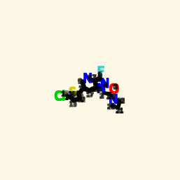 O=C(Cn1nc(F)c2ncc(-c3ccc(Cl)s3)cc21)N1CCC1